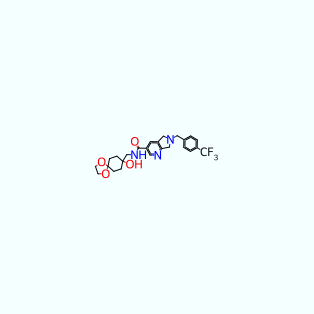 O=C(NCC1(O)CCC2(CC1)OCCO2)c1cnc2c(c1)CN(Cc1ccc(C(F)(F)F)cc1)C2